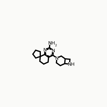 Nc1nc(N2CCC3NCC3C2)c2c(n1)C1(CCCC1)CCC2